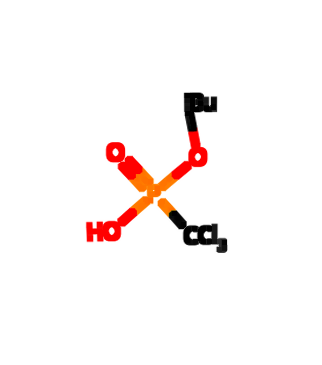 CCC(C)OP(=O)(O)C(Cl)(Cl)Cl